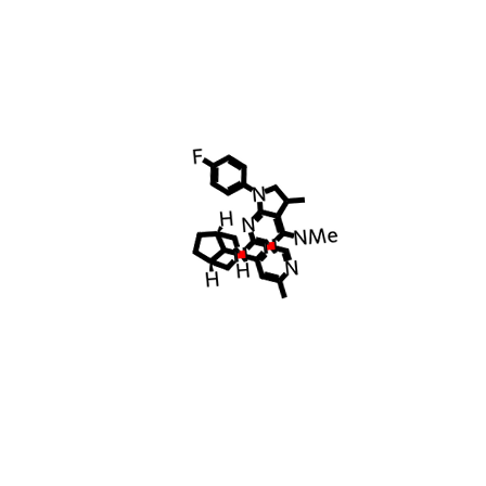 CNc1nc(NC2[C@@H]3CC[C@H]2CN(c2cc(C)ncn2)C3)nc2c1C(C)CN2c1ccc(F)cc1